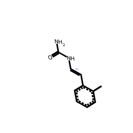 Cc1ccccc1/C=C/NC(N)=O